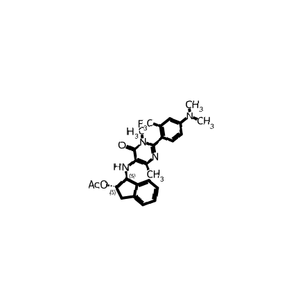 CC(=O)O[C@H]1Cc2ccccc2[C@@H]1Nc1c(C)nc(-c2ccc(N(C)C)cc2C(F)(F)F)n(C)c1=O